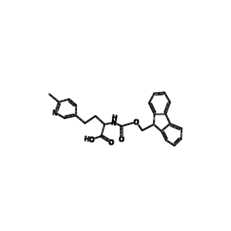 Cc1ccc(CCC(NC(=O)OCC2c3ccccc3-c3ccccc32)C(=O)O)cn1